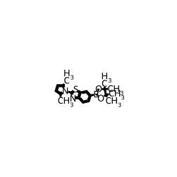 Cc1ccc(C)n1-c1nc2ccc(B3OC(C)(C)C(C)(C)O3)cc2s1